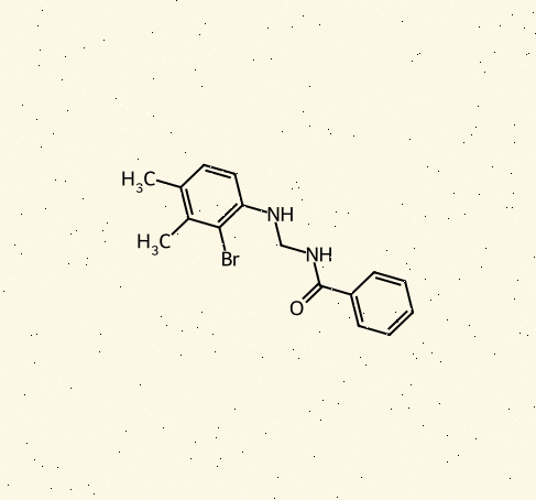 Cc1ccc(NCNC(=O)c2ccccc2)c(Br)c1C